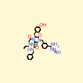 C=CCN1CC(=O)N2[C@@H](Cc3ccc(O)cc3)C(=O)N(Cc3cccc(/C(N)=N/N=N)c3)C[C@@H]2N1C(=O)NCc1ccccc1